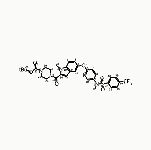 CN(c1ccc(Oc2ccc3c(c2)cc(C(=O)N2CCN(C(=O)OC(C)(C)C)CC2)n3C)nc1)S(=O)(=O)c1ccc(C(F)(F)F)cc1